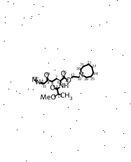 CO[C@H](C)C(=O)N[C@@H](CCC(=O)C=[N+]=[N-])C(=O)OCCN1CCCCCCC1